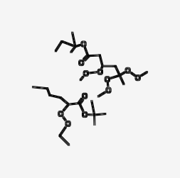 CCC(C)(C)OC(=O)CC(CC(C)(OOC)OOC)OOC.CCCCC(OOCC)C(=O)OC(C)(C)C